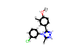 CCOc1ccc(-c2nnc(C)n2-c2cccc(Cl)c2)cc1C